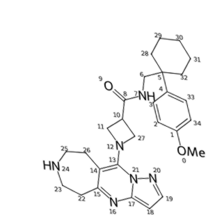 COc1ccc(C2(CNC(=O)C3CN(c4c5c(nc6ccnn46)CCNCC5)C3)CCCCC2)cc1